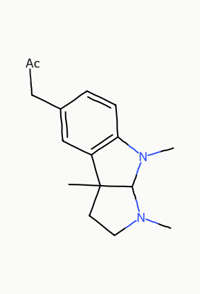 CC(=O)Cc1ccc2c(c1)C1(C)CCN(C)C1N2C